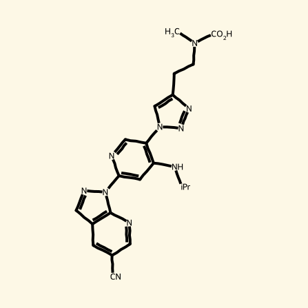 CC(C)Nc1cc(-n2ncc3cc(C#N)cnc32)ncc1-n1cc(CCN(C)C(=O)O)nn1